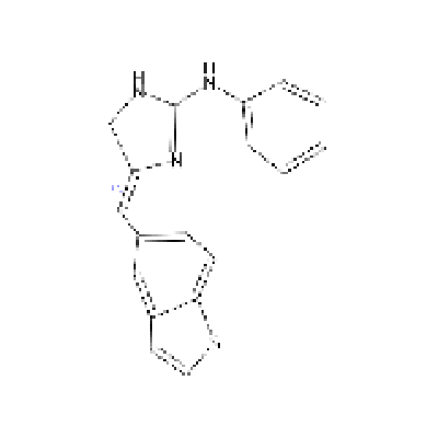 C(=C1\CNC(Nc2ccccc2)=N1)/c1ccc2sccc2c1